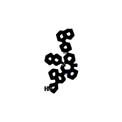 CC1C2=CCC([C@H]3C=CC(C4CCCC5=C4CCCC5)CC3)CC2N([C@H]2C=CC3CCC=CC3C2)C/C(C2CCC(C3CCNC3)=C3CCCCC32)=C2/CCCCC21